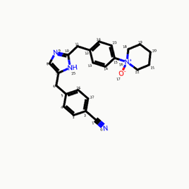 N#Cc1ccc(Cc2cnc(Cc3ccc([N+]4([O-])CCCCC4)cc3)[nH]2)cc1